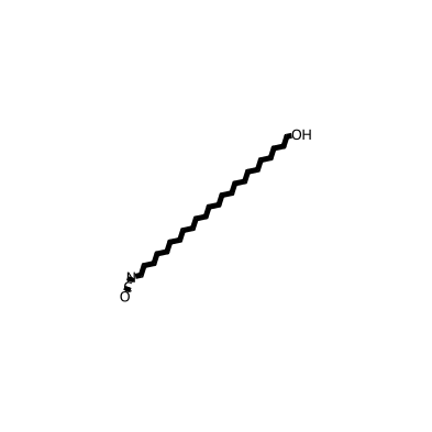 O=C=NCCCCCCCCCCCCCCCCCCCCCCCCO